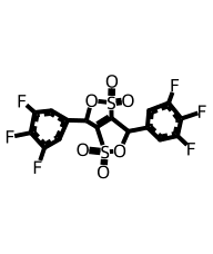 O=S1(=O)OC(c2cc(F)c(F)c(F)c2)C2=C1C(c1cc(F)c(F)c(F)c1)OS2(=O)=O